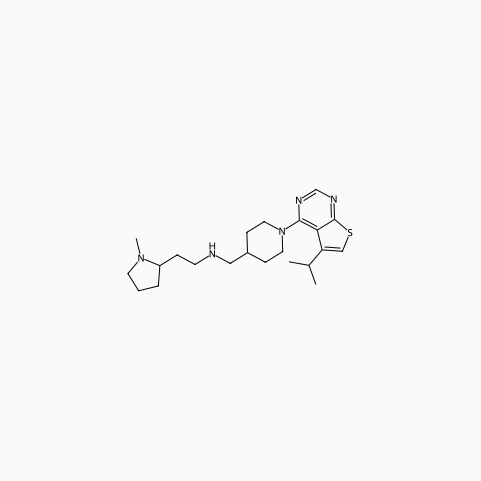 CC(C)c1csc2ncnc(N3CCC(CNCCC4CCCN4C)CC3)c12